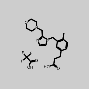 Cc1ccc(CCC(=O)O)cc1Cn1ccnc1CN1CCOCC1.O=C(O)C(F)(F)F